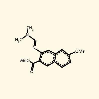 COC(=O)c1cc2ccc(OC)cc2cc1N=CN(C)C